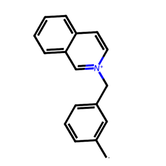 [CH2]c1cccc(C[n+]2ccc3ccccc3c2)c1